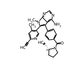 C#Cc1cc(C)c(-c2c(-c3ccc(C(=O)N4CCC[C@@H]4C#C)cc3)c3c(N)ncnc3n2C)cn1